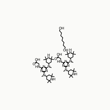 CN(c1nc(NCC(=O)O)nc(N(C)C2CC(C)(C)NC(C)(C)C2)n1)C1CC(C)(C)NC(C)(C)C1.CN(c1nc(NCC(=O)O)nc(N(C)C2CC(C)(C)NC(C)(C)C2)n1)C1CC(C)(C)NC(C)(C)C1.OCCCCCCCCO